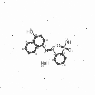 O=S(=O)(O)c1ccccc1N=Nc1ccc(O)c2ccccc12.[NaH]